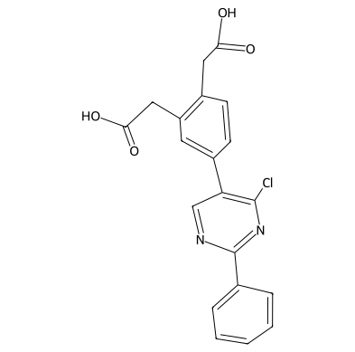 O=C(O)Cc1ccc(-c2cnc(-c3ccccc3)nc2Cl)cc1CC(=O)O